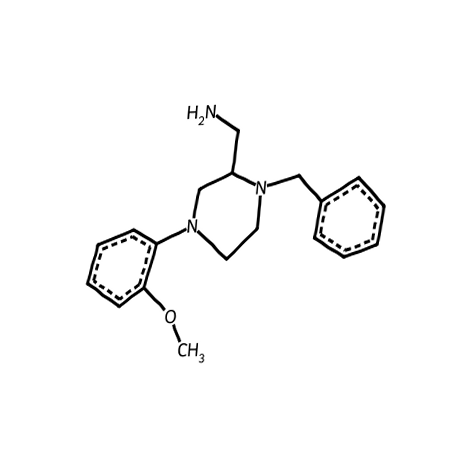 COc1ccccc1N1CCN(Cc2ccccc2)C(CN)C1